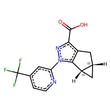 O=C(O)c1nn(-c2cc(C(F)(F)F)ccn2)c2c1C[C@@H]1C[C@H]21